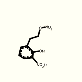 O=C(O)c1cccc(CCO[N+](=O)[O-])c1O